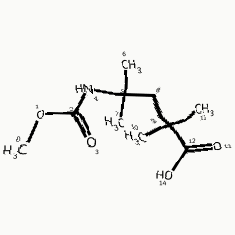 COC(=O)NC(C)(C)CC(C)(C)C(=O)O